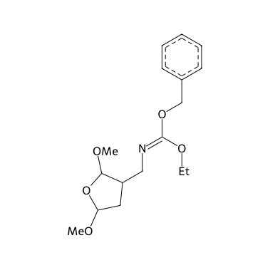 CCOC(=NCC1CC(OC)OC1OC)OCc1ccccc1